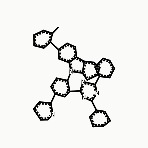 Cc1ccccc1-c1ccc2c3ccccc3n(-c3ccc(-c4ccccn4)cc3-c3nc(-c4ccccc4)nc(-c4ccccc4)n3)c2c1